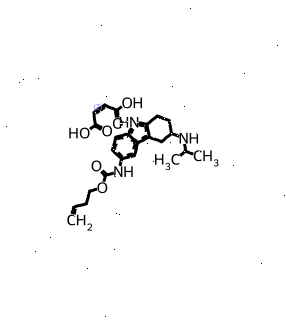 C=CCCOC(=O)Nc1ccc2[nH]c3c(c2c1)CC(NC(C)C)CC3.O=C(O)/C=C\C(=O)O